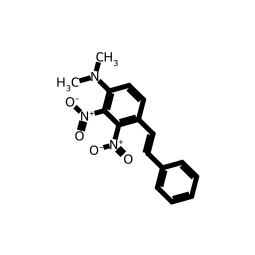 CN(C)c1ccc(C=Cc2ccccc2)c([N+](=O)[O-])c1[N+](=O)[O-]